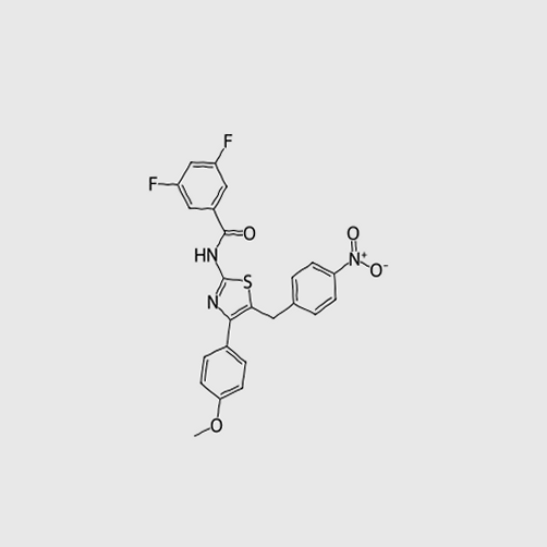 COc1ccc(-c2nc(NC(=O)c3cc(F)cc(F)c3)sc2Cc2ccc([N+](=O)[O-])cc2)cc1